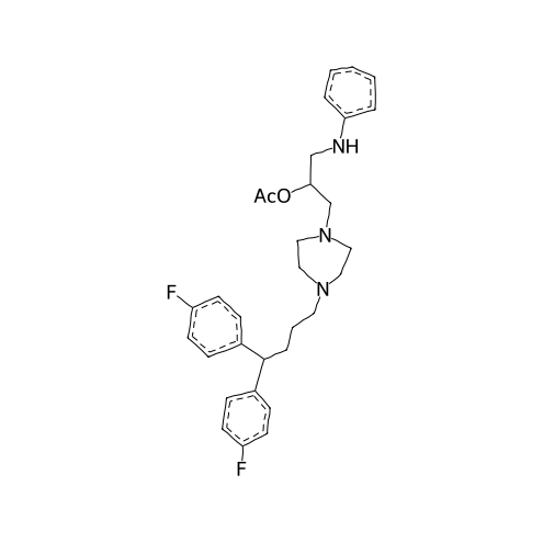 CC(=O)OC(CNc1ccccc1)CN1CCN(CCCC(c2ccc(F)cc2)c2ccc(F)cc2)CC1